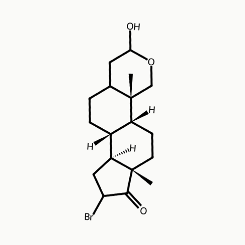 C[C@]12COC(O)CC1CC[C@@H]1[C@H]2CC[C@]2(C)C(=O)C(Br)C[C@@H]12